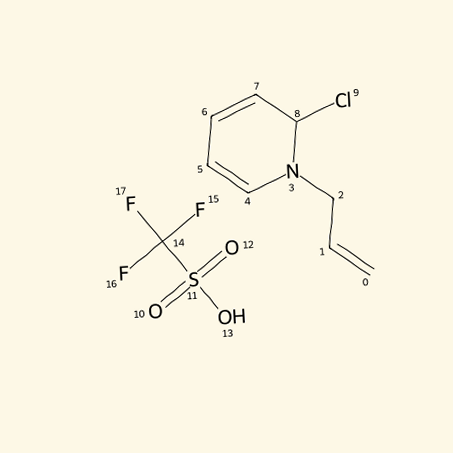 C=CCN1C=CC=CC1Cl.O=S(=O)(O)C(F)(F)F